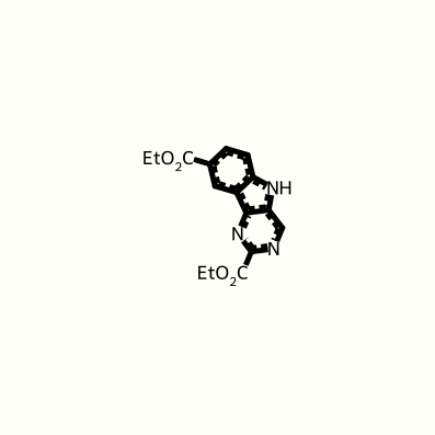 CCOC(=O)c1ccc2[nH]c3cnc(C(=O)OCC)nc3c2c1